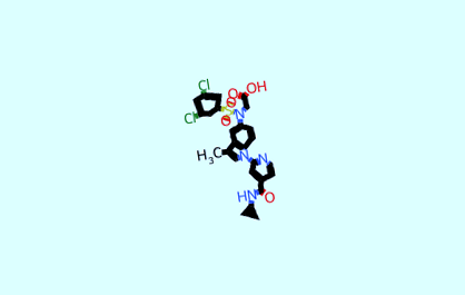 Cc1cn(-c2cc(C(=O)NC3CC3)ccn2)c2ccc(N(CC(=O)O)S(=O)(=O)C3C=C(Cl)C=C(Cl)C3)cc12